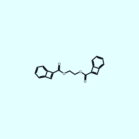 O=C(OCCOC(=O)C1=Cc2ccccc21)C1=Cc2ccccc21